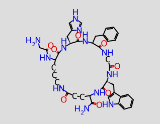 NCC(=O)NC1CCCNC(=O)CCC(C(N)=O)NC(=O)[C@H](Cc2c[nH]c3ccccc23)NC(=O)CNC(=O)C(Cc2ccccc2)NC(=O)[C@H](Cc2c[nH]cn2)NC1=O